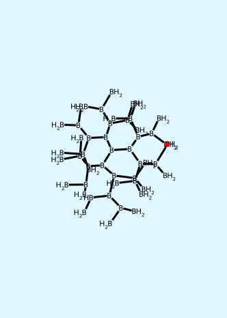 BBB(B(B)B)B(B(B)B)B(B(B(B)B)B(B)B)B(B(B(B(B)B)B(B)B)B(B(B)B)B(B)B)B(B(B(B)B)B(B)B)B(B(B)B)B(B)B